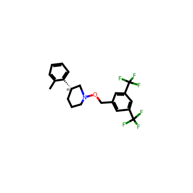 Cc1ccccc1[C@H]1CCCN(OCc2cc(C(F)(F)F)cc(C(F)(F)F)c2)C1